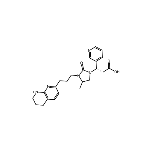 CC1CN([C@@H](CC(=O)O)c2cccnc2)C(=O)N1CCCc1ccc2c(n1)NCCC2